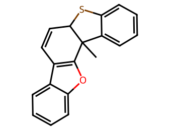 CC12c3ccccc3SC1C=Cc1c2oc2ccccc12